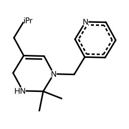 CC(C)CC1=CN(Cc2cccnc2)C(C)(C)NC1